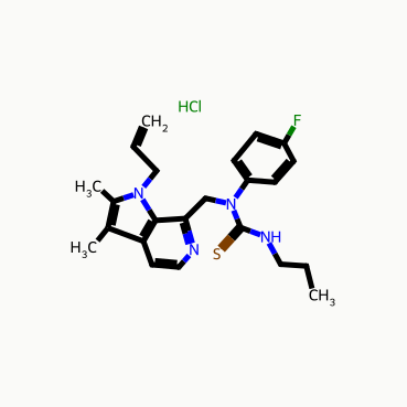 C=CCn1c(C)c(C)c2ccnc(CN(C(=S)NCCC)c3ccc(F)cc3)c21.Cl